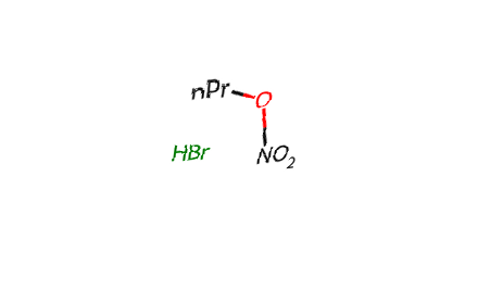 Br.CCCO[N+](=O)[O-]